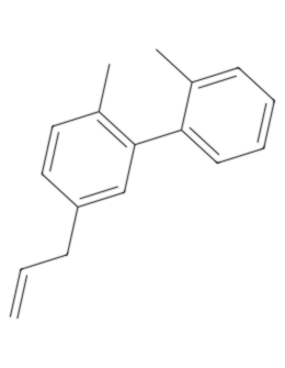 C=CCc1ccc(C)c(-c2ccccc2C)c1